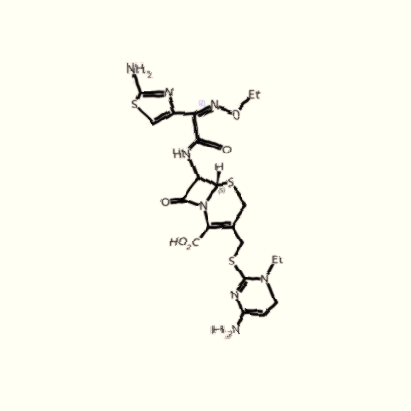 CCO/N=C(\C(=O)NC1C(=O)N2C(C(=O)O)=C(CSC3=NC(N)=CCN3CC)CS[C@@H]12)c1csc(N)n1